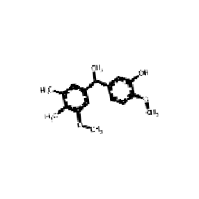 COc1ccc(C(C)c2cc(C)c(C)c(OC)c2)cc1O